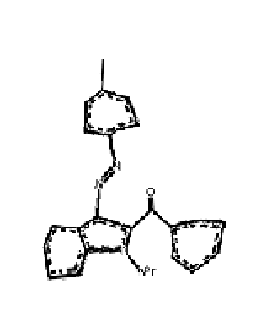 CCCn1c(C(=O)c2ccccc2)c(/N=N/c2ccc(C)cc2)c2ccccc21